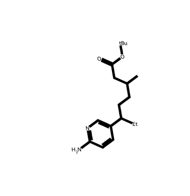 CCC(CCC(C)CC(=O)OC(C)(C)C)c1ccc(N)nc1